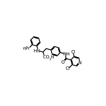 CCCc1ccccc1NC(Cc1ccc(NC(=O)c2c(Cl)cncc2Cl)cc1)C(=O)O